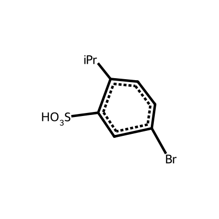 CC(C)c1ccc(Br)cc1S(=O)(=O)O